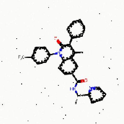 Cc1c(-c2ccccc2)c(=O)n(-c2ccc(C(F)(F)F)cc2)c2ccc(C(=O)N[C@@H](C)c3ccccn3)cc12